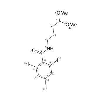 COC(CCCNC(=O)c1c(I)cc(I)cc1I)OC